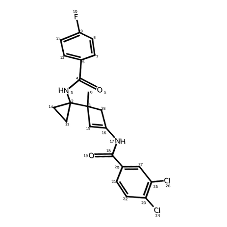 CC1(C2(NC(=O)c3ccc(F)cc3)CC2)C=C(NC(=O)c2ccc(Cl)c(Cl)c2)C1